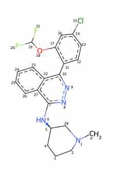 CN1CCC[C@@H](Nc2nnc(-c3ccc(Cl)cc3OC(F)F)c3ccccc23)C1